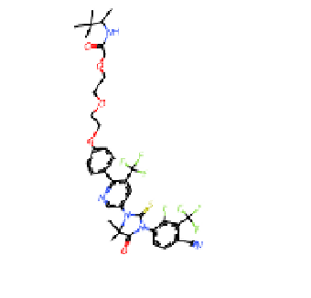 CC(NC(=O)COCCOCCOc1ccc(-c2ncc(N3C(=S)N(c4ccc(C#N)c(C(F)(F)F)c4F)C(=O)C3(C)C)cc2C(F)(F)F)cc1)C(C)(C)C